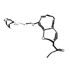 CC(=O)c1cc2cccc(OC[C@@H]3CO3)c2o1